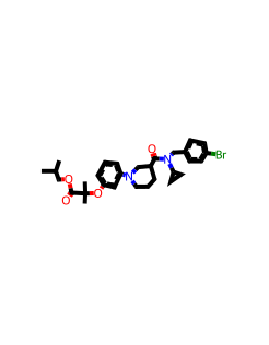 CC(C)COC(=O)C(C)(C)Oc1cccc(N2CCCC(C(=O)N(Cc3ccc(Br)cc3)C3CC3)C2)c1